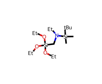 CCO[Si](CN(CC)[Si](C)(C)C(C)(C)C)(OCC)OCC